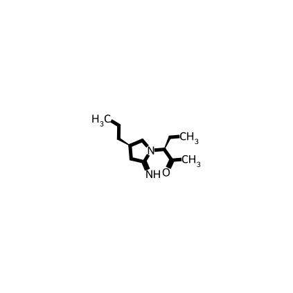 CCC[C@@H]1CC(=N)N([C@@H](CC)C(C)=O)C1